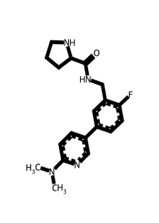 CN(C)c1ccc(-c2ccc(F)c(CNC(=O)C3CCCN3)c2)cn1